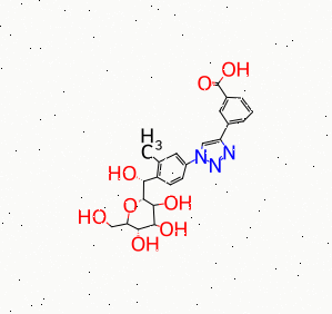 Cc1cc(-n2cc(-c3cccc(C(=O)O)c3)nn2)ccc1[C@@H](O)[C@H]1OC(CO)[C@@H](O)C(O)C1O